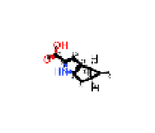 C[C@H]1[C@H]2Cc3[nH]c(C(=O)O)cc3[C@@H]12